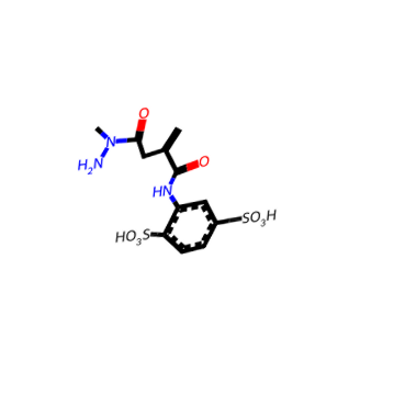 C=C(CC(=O)N(C)N)C(=O)Nc1cc(S(=O)(=O)O)ccc1S(=O)(=O)O